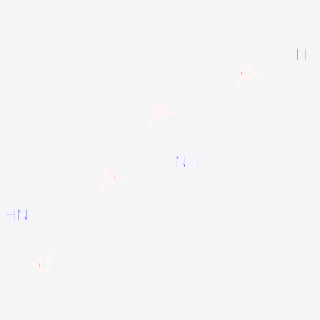 CCOc1ccc2c(c1)OCC(COc1ccc3c(c1)NCCO3)N2